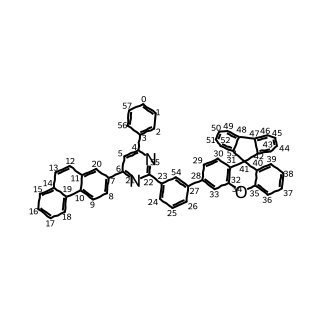 c1ccc(-c2cc(-c3ccc4c(ccc5ccccc54)c3)nc(-c3cccc(-c4ccc5c(c4)Oc4ccccc4C54c5ccccc5-c5ccccc54)c3)n2)cc1